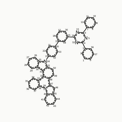 c1ccc(-c2nc(-c3ccccc3)nc(-c3cccc(-c4ccc(-n5c6ccccc6c6c7c8ccccc8n8c9ccccc9cc8c7ccc65)cc4)c3)n2)cc1